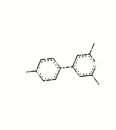 Cc1cc(-c2ccc(C(=O)O)cc2)cc(C)n1